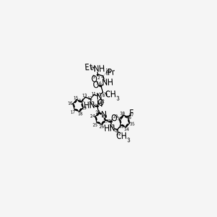 CCNC(=O)[C@@H](NC(=O)[C@H](C)NC[C@H](Cc1ccccc1)NC(=O)c1cccc(C(=O)NC(C)c2ccc(F)cc2)n1)C(C)C